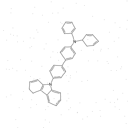 C1=CCC(N(c2ccccc2)c2ccc(-c3ccc(-n4c5c(c6ccccc64)CCC=C5)cc3)cc2)C=C1